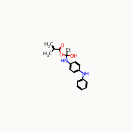 C=C(C)C(=O)OC(O)(CC)Nc1ccc(Nc2ccccc2)cc1